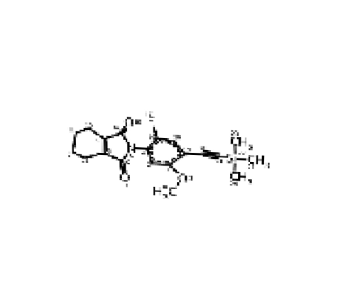 COc1cc(N2C(=O)C3=C(CCCC3)C2=O)c(F)cc1C#C[Si](C)(C)C